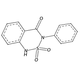 O=C1c2ccccc2NS(=O)(=O)N1c1ccccc1